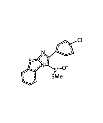 CS[S+]([O-])c1c(-c2ccc(Cl)cc2)nc2sc3ccccc3n12